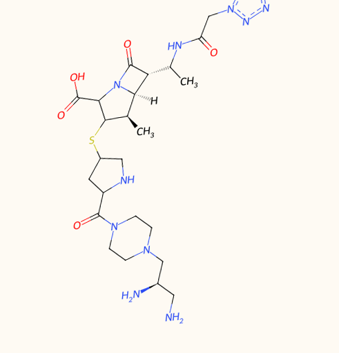 CC(NC(=O)Cn1cnnn1)[C@H]1C(=O)N2C(C(=O)O)C(SC3CNC(C(=O)N4CCN(C[C@H](N)CN)CC4)C3)[C@H](C)[C@H]12